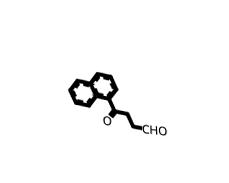 O=CCCC(=O)c1cccc2ccccc12